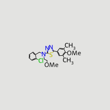 COCCN(Cc1ccccc1Cl)c1nnc(-c2cc(C)c(OC)c(C)c2)s1